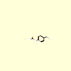 NCc1ccc(NC(N)=S)cc1